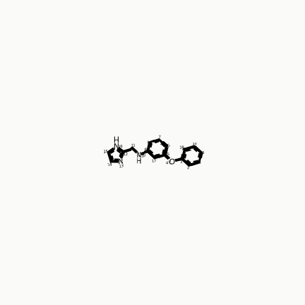 c1ccc(Oc2cccc(NCc3ncc[nH]3)c2)cc1